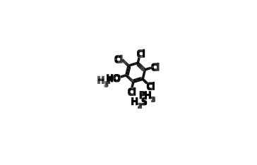 Oc1c(Cl)c(Cl)c(Cl)c(Cl)c1Cl.P.P.S